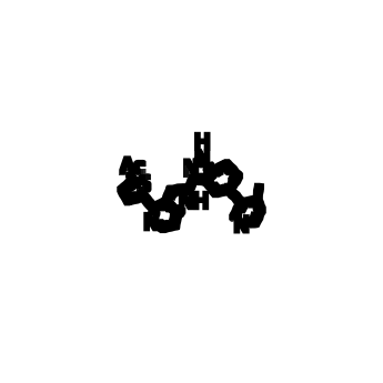 CC(=O)c1ccc(-c2nccc3[nH]c(-c4n[nH]c5ccc(-c6cnccc6C)cc45)cc23)s1